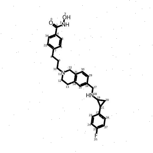 O=C(NO)c1ccc(CCCN2CCc3cc(CNC4CC4c4ccc(F)cc4)ccc3C2)cc1